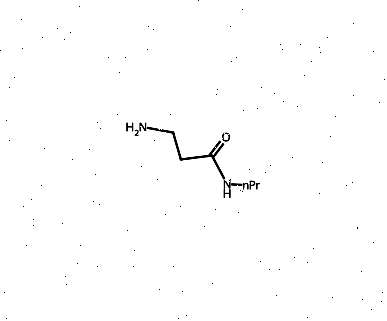 [CH2]CCNC(=O)CCN